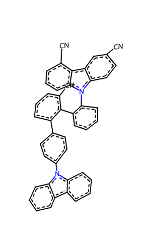 N#Cc1ccc2c(c1)c1c(C#N)cccc1n2-c1ccccc1-c1c(C#N)cccc1-c1ccc(-n2c3ccccc3c3ccccc32)cc1